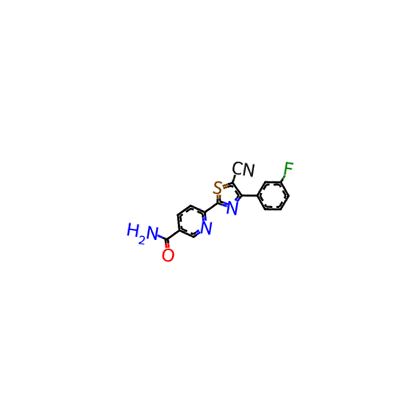 N#Cc1sc(-c2ccc(C(N)=O)cn2)nc1-c1cccc(F)c1